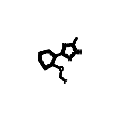 Cc1nc(-c2ccccc2OCF)n[nH]1